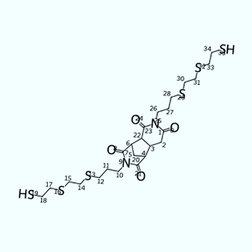 O=C1CC2C3CC(C(=O)N(CCCSCCSCCS)C3=O)C2C(=O)N1CCCSCCSCCS